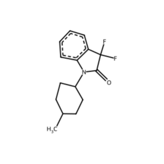 CC1CCC(N2C(=O)C(F)(F)c3ccccc32)CC1